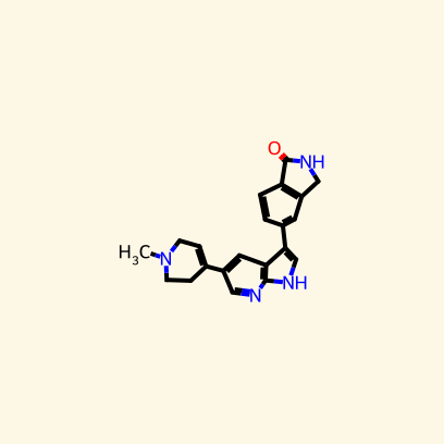 CN1CC=C(c2cnc3[nH]cc(-c4ccc5c(c4)CNC5=O)c3c2)CC1